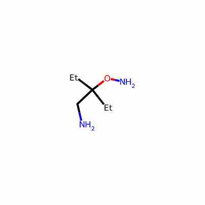 CCC(CC)(CN)ON